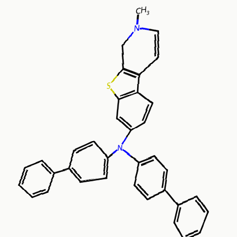 CN1C=Cc2c(sc3cc(N(c4ccc(-c5ccccc5)cc4)c4ccc(-c5ccccc5)cc4)ccc23)C1